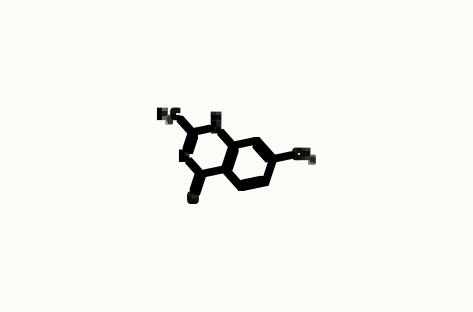 Cc1ccc2c(=O)nc(C)[nH]c2c1